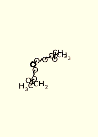 C=C(C)C(=O)OCCCOc1cccc(OCCOCCOC(=O)C(=C)C)c1